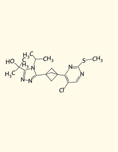 CSc1ncc(Cl)c(C23CC(c4nnc(C(C)(C)O)n4C(C)C)(C2)C3)n1